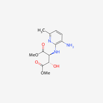 COC(=O)[C@@H](O)[C@H](Nc1nc(C)ccc1N)C(=O)OC